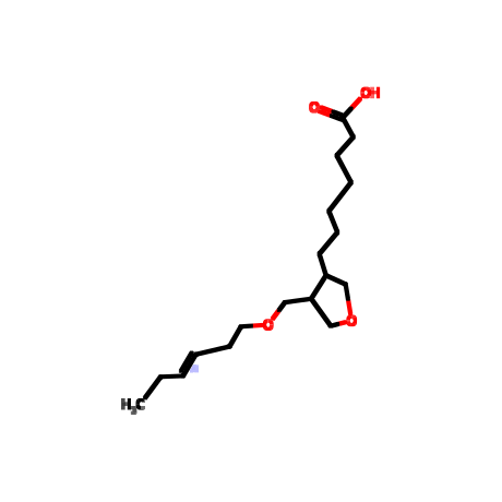 CC/C=C/CCOCC1COCC1CCCCCCC(=O)O